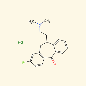 CN(C)CCC1Cc2cc(F)ccc2C(=O)c2ccccc21.Cl